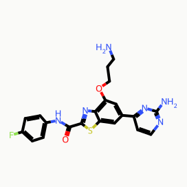 NCCCOc1cc(-c2ccnc(N)n2)cc2sc(C(=O)Nc3ccc(F)cc3)nc12